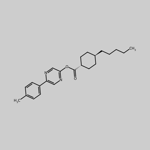 CCCCC[C@H]1CC[C@H](C(=O)Oc2cnc(-c3ccc(C)cc3)cn2)CC1